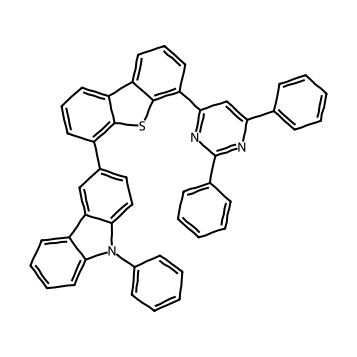 c1ccc(-c2cc(-c3cccc4c3sc3c(-c5ccc6c(c5)c5ccccc5n6-c5ccccc5)cccc34)nc(-c3ccccc3)n2)cc1